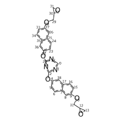 c1nc(Oc2ccc3cc(OCC4CO4)ccc3c2)nc(Oc2ccc3cc(OCC4CO4)ccc3c2)n1